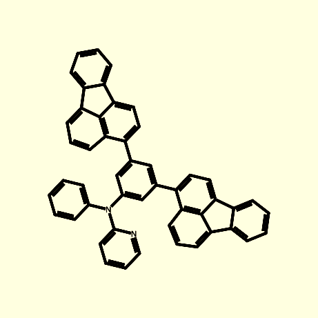 c1ccc(N(c2cc(-c3ccc4c5c(cccc35)-c3ccccc3-4)cc(-c3ccc4c5c(cccc35)-c3ccccc3-4)c2)c2ccccn2)cc1